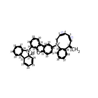 C=C1/C=C\C=C/CN(c2ccc3oc4c(N5c6ccccc6C6C=CC=C[C@@H]65)cccc4c3c2)c2ccccc21